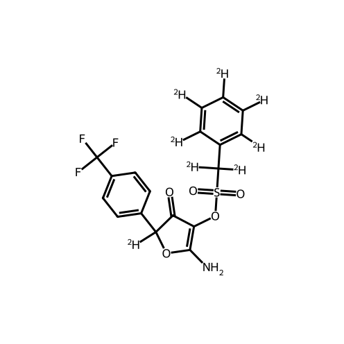 [2H]c1c([2H])c([2H])c(C([2H])([2H])S(=O)(=O)OC2=C(N)OC([2H])(c3ccc(C(F)(F)F)cc3)C2=O)c([2H])c1[2H]